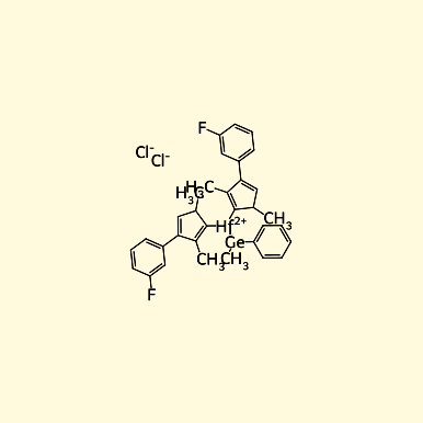 CC1=[C]([Hf+2]([C]2=C(C)C(c3cccc(F)c3)=CC2C)=[Ge]([CH3])[c]2ccccc2)C(C)C=C1c1cccc(F)c1.[Cl-].[Cl-]